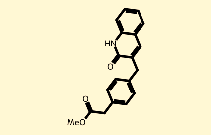 COC(=O)Cc1ccc(Cc2cc3ccccc3[nH]c2=O)cc1